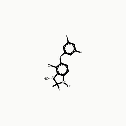 [O-][S+]1c2ccc(Oc3cc(F)cc(F)c3)c(Cl)c2[C@@H](O)C1(F)F